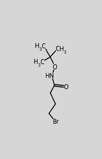 CC(C)(C)ONC(=O)CCCBr